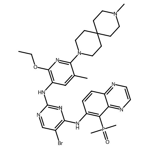 CCOc1nc(N2CCC3(CCN(C)CC3)CC2)c(C)cc1Nc1ncc(Br)c(Nc2ccc3nccnc3c2P(C)(C)=O)n1